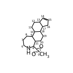 CS(=O)(=O)C1NCCCC2C3CCC4C=CCC4C3CCC21